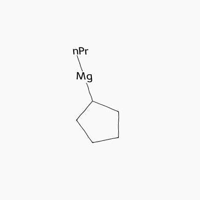 CC[CH2][Mg][CH]1CCCC1